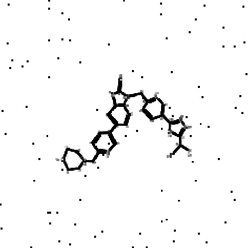 O=c1sc2cc(-c3ccc(CN4CCOCC4)nc3)ccc2n1Cc1ccc(-c2nnc(C(F)F)o2)cn1